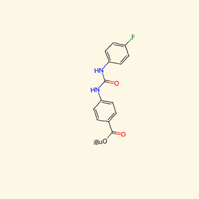 CC(C)COC(=O)c1ccc(NC(=O)Nc2ccc(F)cc2)cc1